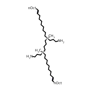 CCCCCCCC/C=C/CCCCCCCC[N+](C)(CCCN)CCCC[N+](C)(CCCN)CCCCCCCC/C=C/CCCCCCCC